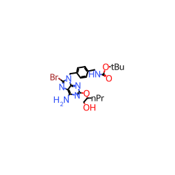 CCCC(CO)Oc1nc(N)c2nc(Br)n(Cc3ccc(CNC(=O)OC(C)(C)C)cc3)c2n1